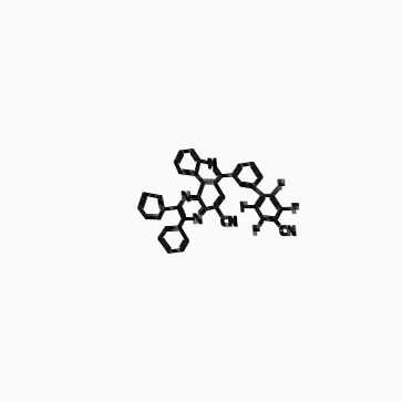 N#Cc1c(F)c(F)c(-c2cccc(-c3nc4ccccc4c4c3cc(C#N)c3nc(-c5ccccc5)c(-c5ccccc5)nc34)c2)c(F)c1F